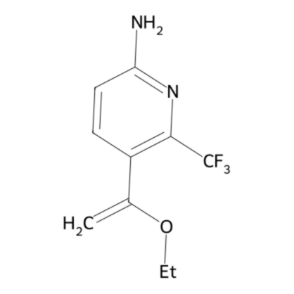 C=C(OCC)c1ccc(N)nc1C(F)(F)F